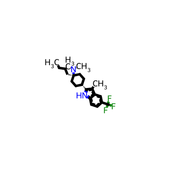 CCCC[C@]1(N(C)C)CC[C@H](c2[nH]c3ccc(C(F)(F)F)cc3c2C)CC1